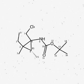 CCC1(C)[C@@H](C)C1(CCl)NC(=O)OC(C)(C)C